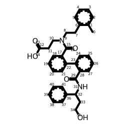 Cc1ccccc1CCN(CCC(=O)O)C(=O)c1ccccc1-c1ccccc1C(=O)NC(CCO)c1ccccc1